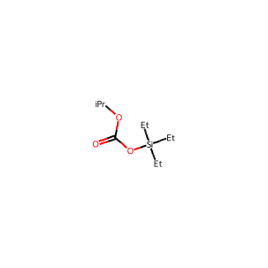 CC[Si](CC)(CC)OC(=O)OC(C)C